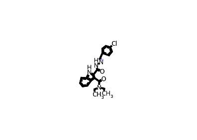 CCN(CC)C(=O)c1c(C(=O)N/N=C/c2ccc(Cl)cc2)[nH]c2ccccc12